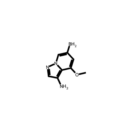 Bc1cc(OC)c2c(N)cnn2c1